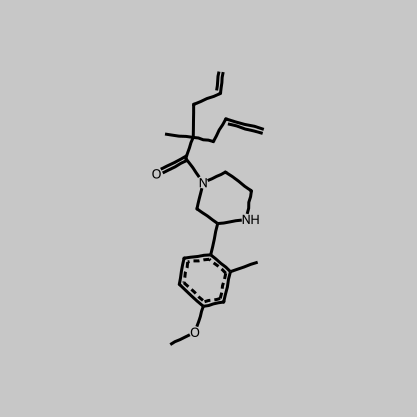 C=CCC(C)(CC=C)C(=O)N1CCNC(c2ccc(OC)cc2C)C1